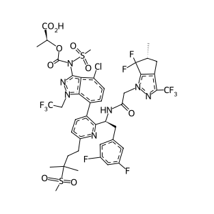 C[C@H](OC(=O)N(c1nn(CC(F)(F)F)c2c(-c3ccc(CCC(C)(C)S(C)(=O)=O)nc3[C@H](Cc3cc(F)cc(F)c3)NC(=O)Cn3nc(C(F)(F)F)c4c3C(F)(F)[C@H](C)C4)ccc(Cl)c12)S(C)(=O)=O)C(=O)O